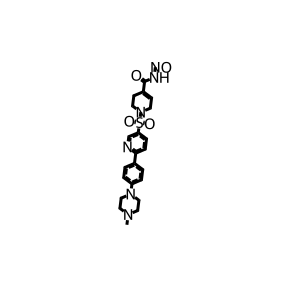 CN1CCN(c2ccc(-c3ccc(S(=O)(=O)N4CC=C(C(=O)NN=O)CC4)cn3)cc2)CC1